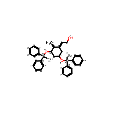 C=C1C(=CCO)CC(O[Si](c2ccccc2)(c2ccccc2)C(C)(C)C)CC1O[Si](c1ccccc1)(c1ccccc1)C(C)(C)C